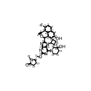 C#Cc1c(F)ccc2cc(O)cc(C(=O)c3nc4nc(OC[C@@H]5CCC(=O)N5C)nc(N5CCC[C@@](C)(O)C5)c4n3C3CCC3)c12